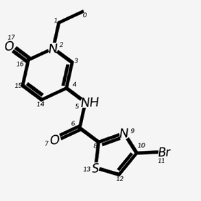 CCn1cc(NC(=O)c2nc(Br)cs2)ccc1=O